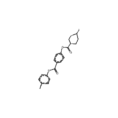 Cc1ccc(OC(=O)c2ccc(OC(=O)C3CCC(I)CC3)cc2)cc1